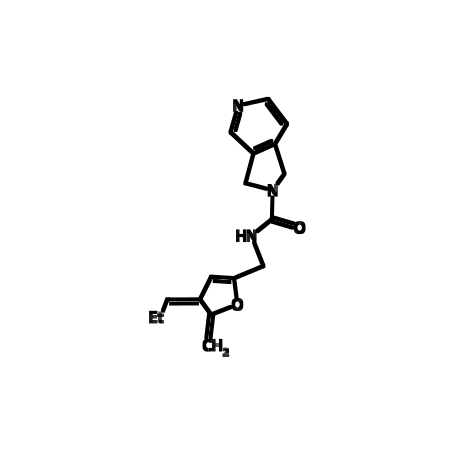 C=c1oc(CNC(=O)N2Cc3ccncc3C2)c/c1=C/CC